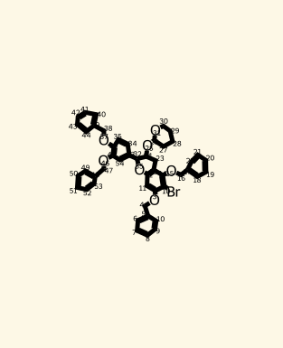 Brc1c(OCc2ccccc2)cc2c(c1OCc1ccccc1)CC(OC1CCCCO1)C(c1ccc(OCc3ccccc3)c(OCc3ccccc3)c1)O2